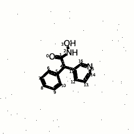 O=C(NO)C(c1ccccc1)c1cccnc1